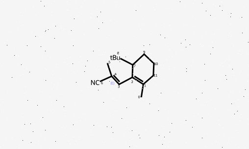 CC1=C(/C=C(\C)C#N)C(C(C)(C)C)CCC1